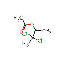 CC(=O)OC(C)[Si](C)(Cl)Cl